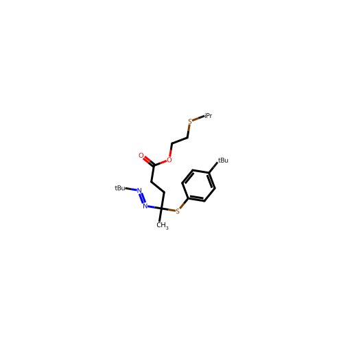 CC(C)SCCOC(=O)CCC(C)(N=NC(C)(C)C)Sc1ccc(C(C)(C)C)cc1